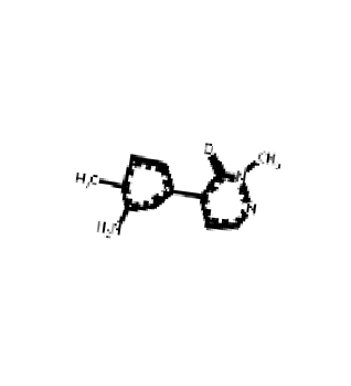 Cc1ccc(-c2ccnn(C)c2=O)cc1N